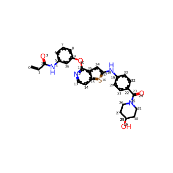 C=CC(=O)Nc1cccc(Oc2nccc3sc(Nc4ccc(C(=O)N5CCC(O)CC5)cc4)cc23)c1